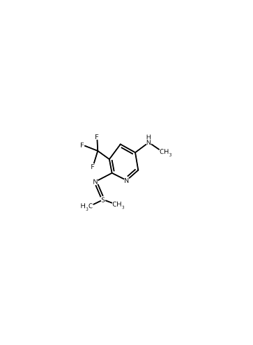 CNc1cnc(N=S(C)C)c(C(F)(F)F)c1